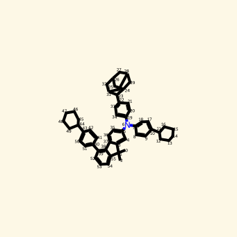 CC1(C)c2cc(N(c3ccc(C4CCCCC4)cc3)c3ccc(C4C5CC6CC(C5)CC4C6)cc3)ccc2-c2c(-c3ccc(C4CCCCC4)cc3)cccc21